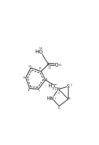 C1NN2SC12.Cc1ccccc1C(=O)O